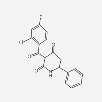 O=C1CC(c2ccccc2)NC(=O)C1C(=O)c1ccc(F)cc1Cl